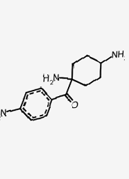 NC1CCC(N)(C(=O)c2ccc([N+](=O)[O-])cc2)CC1